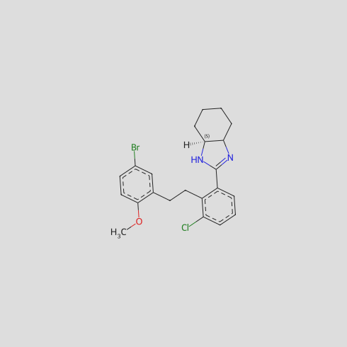 COc1ccc(Br)cc1CCc1c(Cl)cccc1C1=NC2CCCC[C@@H]2N1